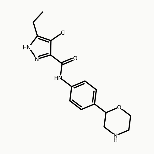 CCc1[nH]nc(C(=O)Nc2ccc(C3CNCCO3)cc2)c1Cl